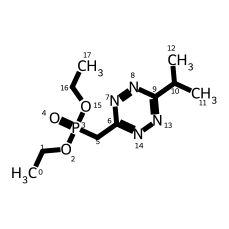 CCOP(=O)(Cc1nnc(C(C)C)nn1)OCC